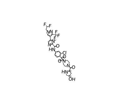 Cn1c(-c2cn(CC(F)F)nc2C(F)(F)F)cnc1C(=O)Nc1ccc(S(=O)(=O)N2CCN(C(=O)[C@H]3C[C@H](O)CN3)CC2)c(Cl)c1